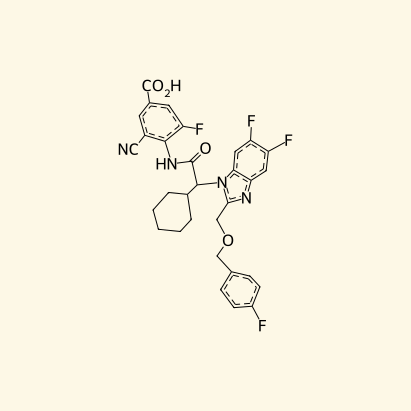 N#Cc1cc(C(=O)O)cc(F)c1NC(=O)C(C1CCCCC1)n1c(COCc2ccc(F)cc2)nc2cc(F)c(F)cc21